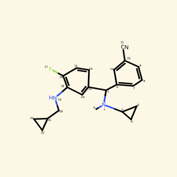 CN(C1CC1)C(c1cccc(C#N)c1)c1ccc(F)c(NCC2CC2)c1